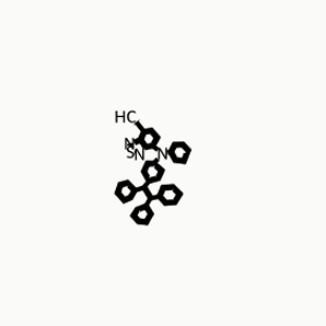 C#Cc1ccc(N(c2ccccc2)c2ccc(C(=C(c3ccccc3)c3ccccc3)c3ccccc3)cc2)c2nsnc12